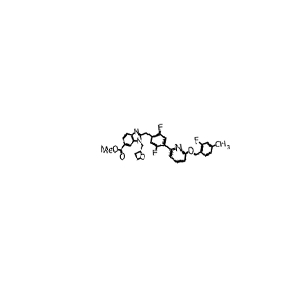 COC(=O)c1ccc2nc(Cc3cc(F)c(-c4cccc(OCc5ccc(C)cc5F)n4)cc3F)n(C[C@@H]3CCO3)c2c1